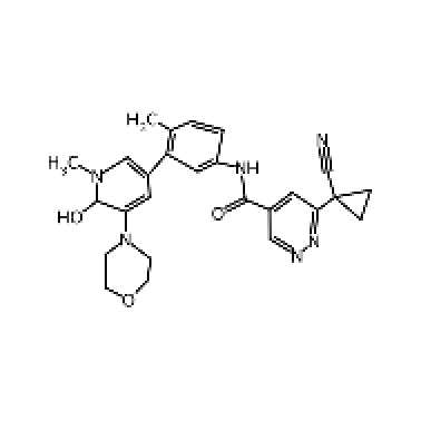 Cc1ccc(NC(=O)c2cnnc(C3(C#N)CC3)c2)cc1C1=CN(C)C(O)C(N2CCOCC2)=C1